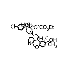 CCOC(=O)COCC1(C)CN(CC/C=C2\C3=C(COc4ccc(C(C)(C)O)cc42)N=CCC3)CCC1(O)c1ccc(Cl)cc1